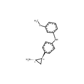 COc1cccc(Nc2ccc([C@H]3C[C@@H]3N)cc2)c1